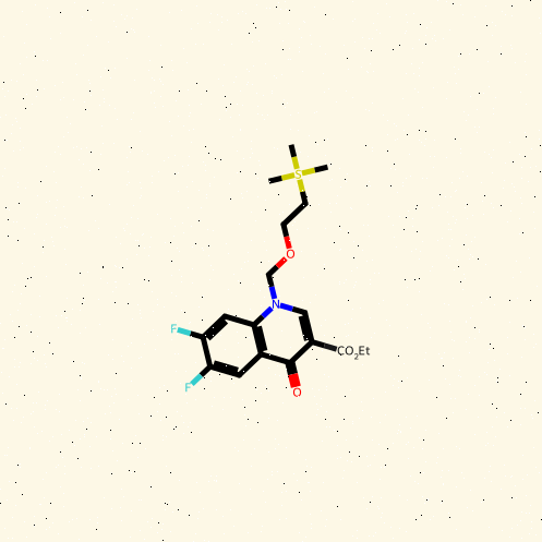 CCOC(=O)c1cn(COCCS(C)(C)C)c2cc(F)c(F)cc2c1=O